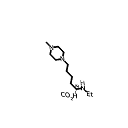 CCN[C@@H](CCCCN1CCN(C)CC1)C(=O)O